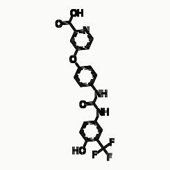 O=C(Nc1ccc(Oc2ccnc(C(=O)O)c2)cc1)Nc1ccc(O)c(C(F)(F)F)c1